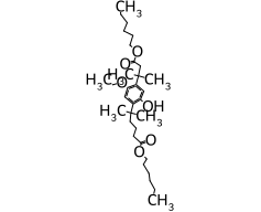 CCCCCCOC(=O)CCCC(C)(C)c1cc(OCC)c(C(C)(C)CC(=O)OCCCCCC)cc1O